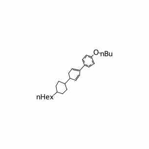 CCCCCCC1CCC(C2C=CC(c3ccc(OCCCC)cc3)=CC2)CC1